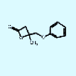 CC1(COc2ccccc2)CC(=O)O1